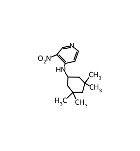 CC1(C)CC(Nc2ccncc2[N+](=O)[O-])CC(C)(C)C1